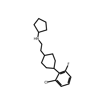 Fc1cccc(Cl)c1C1CCC(CCNC2CCCC2)CC1